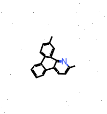 Cc1ccc2c3ccccc3c3ccc(C)nc3c2c1